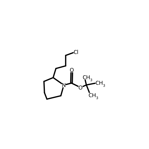 CC(C)(C)OC(=O)N1CCCCC1CCCCl